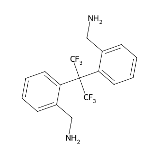 NCc1ccccc1C(c1ccccc1CN)(C(F)(F)F)C(F)(F)F